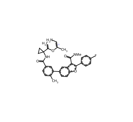 C=C(O/C(C)=C\N)C1(NC(=O)c2ccc(C)c(-c3ccc4oc(-c5ccc(F)cc5)c(C(=O)NC)c4c3)c2)CC1